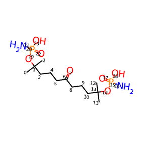 CC(C)(CCCC(=O)CCCC(C)(C)OP(N)(=O)O)OP(N)(=O)O